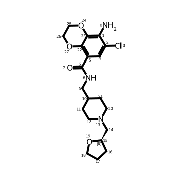 Nc1c(Cl)cc(C(=O)NCC2CCN(C[C@H]3CCCO3)CC2)c2c1OCCO2